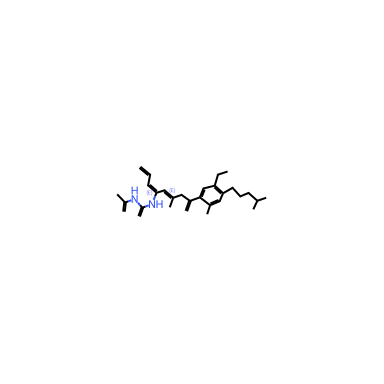 C=C/C=C(\C=C(/C)CC(=C)c1cc(CC)c(CCCC(C)C)cc1C)NC(=C)NC(=C)C